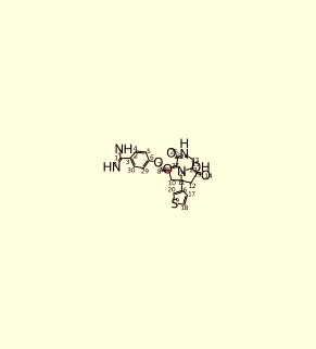 N=C(N)c1ccc(OCCCC(CC(=O)O)(c2ccsc2)N2CCNC(=O)C2=O)cc1